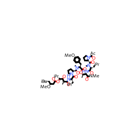 CC[C@H](C)C[C@@H](CC(=O)O[C@H](C(=O)[C@H](C)C(=O)N[C@@H](CC(C)C)C(=O)N1CCC[C@H]1C(=O)N(C)[C@@H](Cc1ccc(OC)cc1)C(=O)O[C@H](C)[C@H](NC(=O)[C@@H](CC(C)C)N(C)C(=O)[C@@H]1CCCN1C(=O)C(C)=O)C(=O)NC)C(C)C)OC